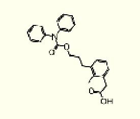 Cc1c(CCCOC(=O)N(c2ccccc2)c2ccccc2)cccc1CC(=O)O